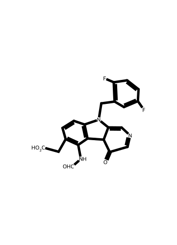 O=CNc1c(CC(=O)O)ccc2c1C1C(=O)C=NC=C1N2Cc1cc(F)ccc1F